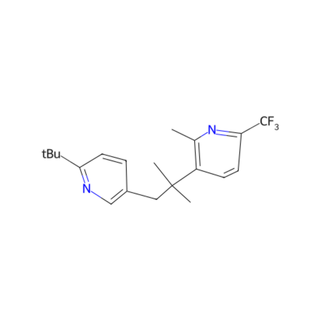 Cc1nc(C(F)(F)F)ccc1C(C)(C)Cc1ccc(C(C)(C)C)nc1